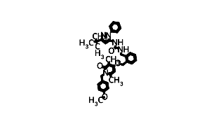 COc1ccc(Cn2c(C)cc(OCc3ccccc3CNC(=O)Nc3cc(C(C)(C)C)nn3-c3ccccc3)c(C)c2=O)cc1